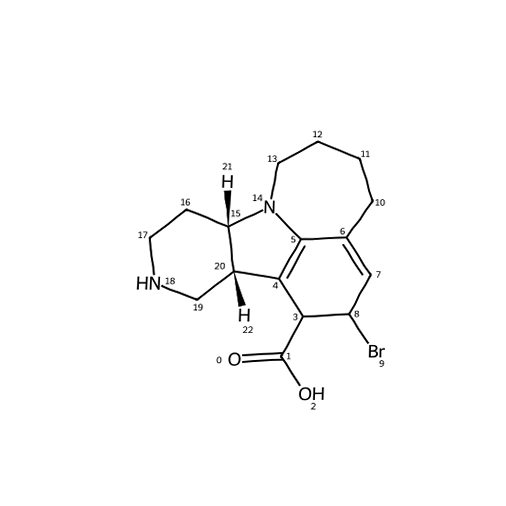 O=C(O)C1C2=C3C(=CC1Br)CCCCN3[C@H]1CCNC[C@@H]21